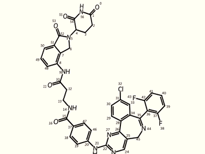 O=C1CCC(N2Cc3c(NC(=O)CCNC(=O)c4ccc(Nc5ncc6c(n5)-c5ccc(Cl)cc5C(c5c(F)cccc5F)=NC6)cc4)cccc3C2=O)C(=O)N1